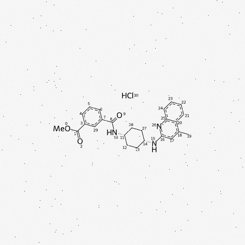 COC(=O)c1cccc(C(=O)N[C@H]2CC[C@@H](Nc3cc(C)c4ccccc4n3)CC2)c1.Cl